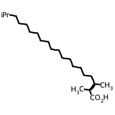 CC(CCCCCCCCCCCCCCCC(C)C)=C(C)C(=O)O